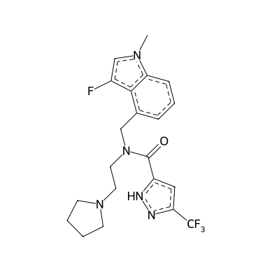 Cn1cc(F)c2c(CN(CCN3CCCC3)C(=O)c3cc(C(F)(F)F)n[nH]3)cccc21